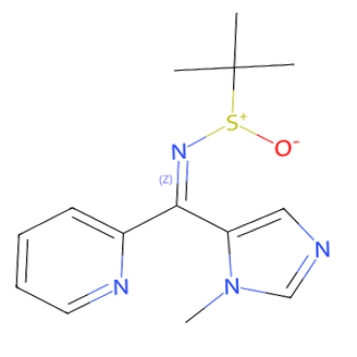 Cn1cncc1/C(=N\[S+]([O-])C(C)(C)C)c1ccccn1